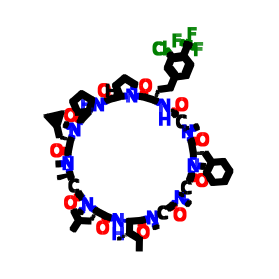 CC[C@H](C)[C@@H]1NC(=O)[C@H](CC(C)C)N(C)C(=O)C[C@@H](C)N(C)C(=O)[C@H](CC2CC2)N(C)C(=O)C2(CCCC2)NC(=O)[C@@H]2CCCN2C(=O)[C@H](CCc2ccc(C(F)(F)F)c(Cl)c2)NC(=O)CN(C)C(=O)[C@H](CC2CCCCC2)N(C)C(=O)CN(C)C(=O)CN(C)C1=O